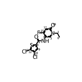 CCn1cc(NC(=O)c2cc(Cl)c(Cl)s2)c(F)cc1=O